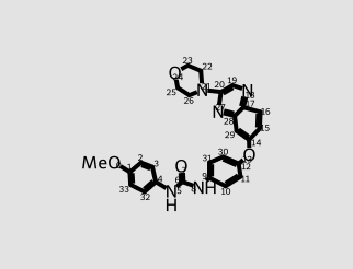 COc1ccc(NC(=O)Nc2ccc(Oc3ccc4ncc(N5CCOCC5)nc4c3)cc2)cc1